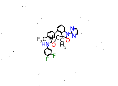 CC1(C)C(=O)N(c2ncccn2)c2cccc(-c3ccc(C(F)(F)F)c(C(=O)Nc4ccc(F)c(F)c4)c3)c21